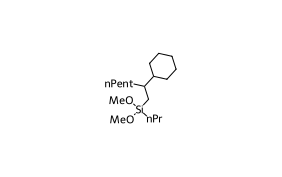 CCCCCC(C[Si](CCC)(OC)OC)C1CCCCC1